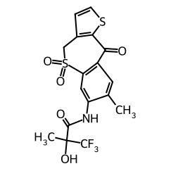 Cc1cc2c(cc1NC(=O)C(C)(O)C(F)(F)F)S(=O)(=O)Cc1ccsc1C2=O